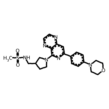 CS(=O)(=O)NCC1CCN(c2nc(-c3ccc(N4CCOCC4)cc3)cc3nccnc23)C1